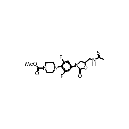 COC(=O)N1CCN(c2c(F)cc(N3CC(CNC(C)=S)OC3=O)cc2F)CC1